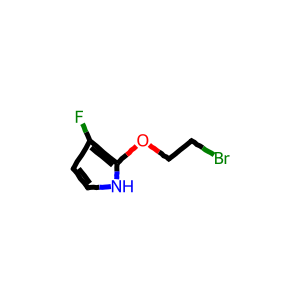 Fc1cc[nH]c1OCCBr